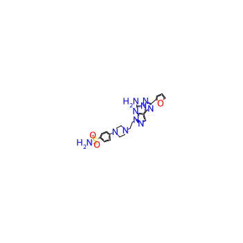 Nc1nc2c(cnn2CCN2CCN(c3ccc(S(N)(=O)=O)cc3)CC2)c2nc(-c3ccco3)nn12